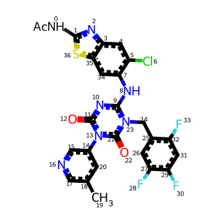 CC(=O)Nc1nc2cc(Cl)c(Nc3nc(=O)n(-c4cncc(C)c4)c(=O)n3Cc3cc(F)c(F)cc3F)cc2s1